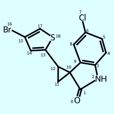 O=C1Nc2ccc(Cl)cc2C12CC2c1cc(Br)cs1